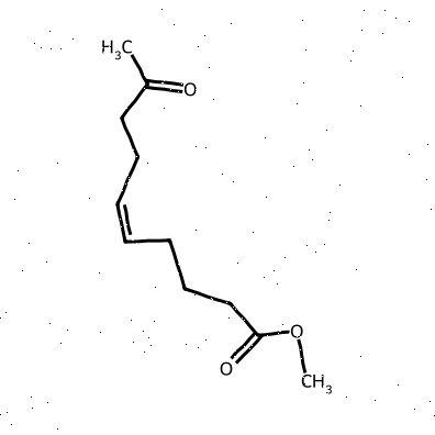 COC(=O)CCC/C=C\CCC(C)=O